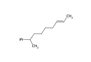 CC=CCCCCC(C)C(C)C